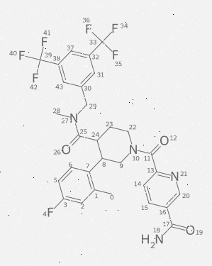 Cc1cc(F)ccc1C1CN(C(=O)c2ccc(C(N)=O)cn2)CCC1C(=O)N(C)Cc1cc(C(F)(F)F)cc(C(F)(F)F)c1